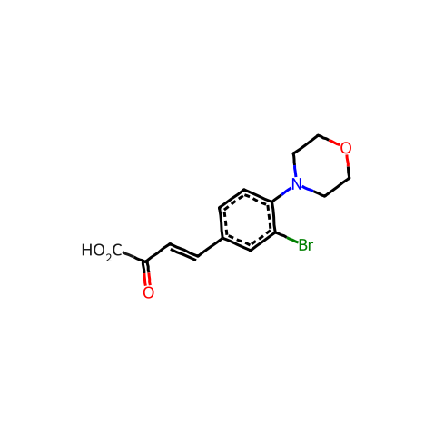 O=C(O)C(=O)C=Cc1ccc(N2CCOCC2)c(Br)c1